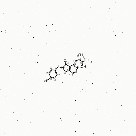 C[C@@H](O)[C@@H](C)Oc1nccc2c1C(=O)N(Cc1ccc(F)cc1)C2